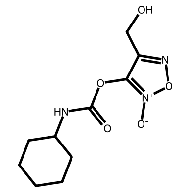 O=C(NC1CCCCC1)Oc1c(CO)no[n+]1[O-]